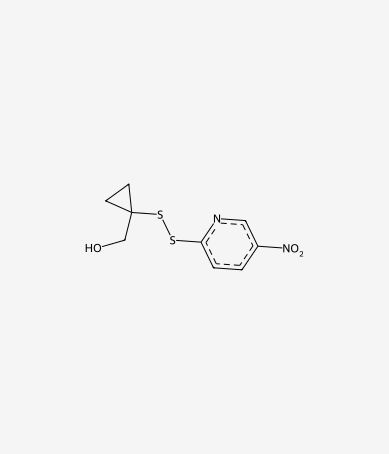 O=[N+]([O-])c1ccc(SSC2(CO)CC2)nc1